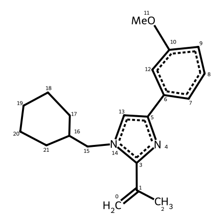 C=C(C)c1nc(-c2cccc(OC)c2)cn1CC1CCCCC1